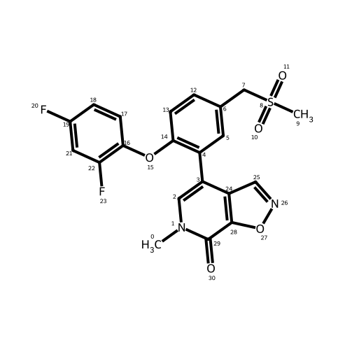 Cn1cc(-c2cc(CS(C)(=O)=O)ccc2Oc2ccc(F)cc2F)c2cnoc2c1=O